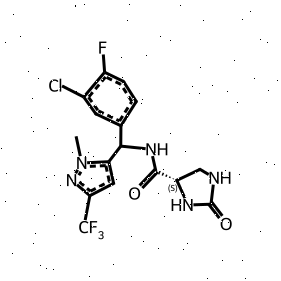 Cn1nc(C(F)(F)F)cc1C(NC(=O)[C@@H]1CNC(=O)N1)c1ccc(F)c(Cl)c1